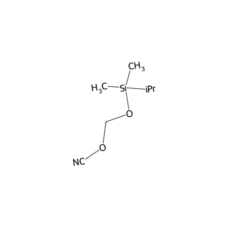 CC(C)[Si](C)(C)OCOC#N